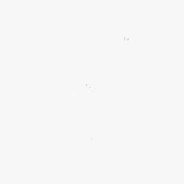 BrCCCNCc1ccccc1